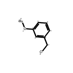 CCC(C)Oc1cccc(CCl)c1